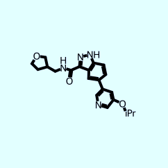 CC(C)Oc1cncc(-c2ccc3[nH]nc(C(=O)NCC4CCOC4)c3c2)c1